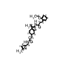 CCOc1ccccc1CCC(=O)Nc1sc2c(c1N)CCC(COC(=O)NCc1nc(C)cs1)C2